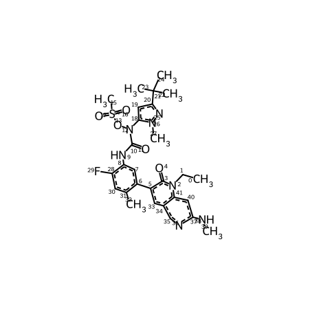 CCn1c(=O)c(-c2cc(NC(=O)N(OS(C)(=O)=O)c3cc(C(C)(C)C)nn3C)c(F)cc2C)cc2cnc(NC)cc21